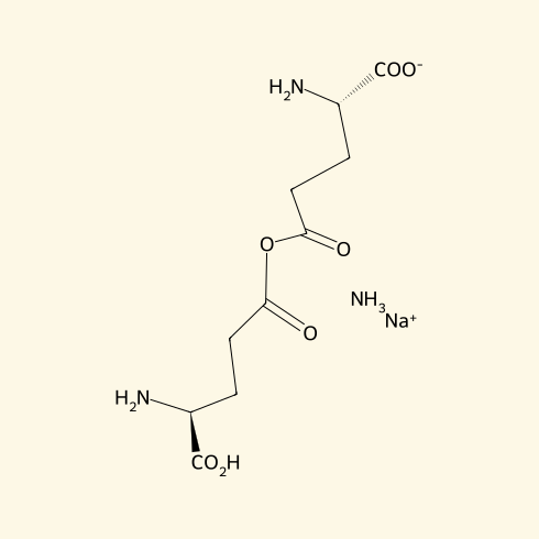 N.N[C@@H](CCC(=O)OC(=O)CC[C@H](N)C(=O)O)C(=O)[O-].[Na+]